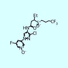 CCC(CC(=O)Nc1cn(-c2cc(F)c[n+]([O-])c2)nc1Cl)[S+]([O-])CCCC(F)(F)F